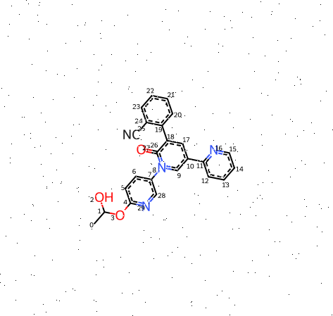 CC(O)Oc1ccc(-n2cc(-c3ccccn3)cc(-c3ccccc3C#N)c2=O)cn1